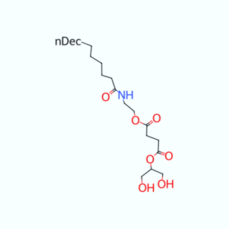 CCCCCCCCCCCCCCCC(=O)NCCOC(=O)CCC(=O)OC(CO)CO